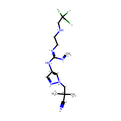 C=N/C(=N\CCNCC(F)(F)F)Nc1cnn(CC(C)(C)C#N)c1